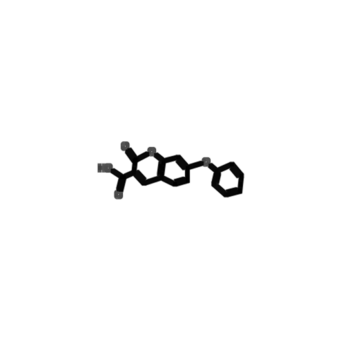 O=C(O)c1cc2ccc(Oc3ccccc3)cc2oc1=O